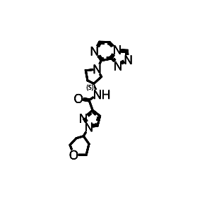 O=C(N[C@H]1CCN(c2nccn3cnnc23)C1)c1ccn(C2CCOCC2)n1